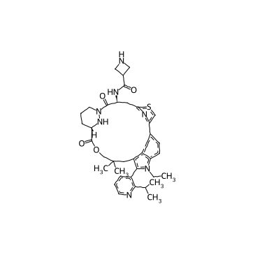 CCn1c(-c2cccnc2C(C)C)c2c3cc(ccc31)-c1csc(n1)C[C@H](NC(=O)C1CNC1)C(=O)N1CCC[C@H](N1)C(=O)OCC(C)(C)C2